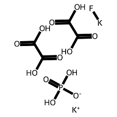 O=C(O)C(=O)O.O=C(O)C(=O)O.O=P([O-])(O)O.[F][K].[K+]